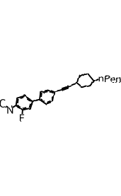 CCCCCC1CCC(C#Cc2ccc(-c3ccc(N=C=S)c(F)c3)cc2)CC1